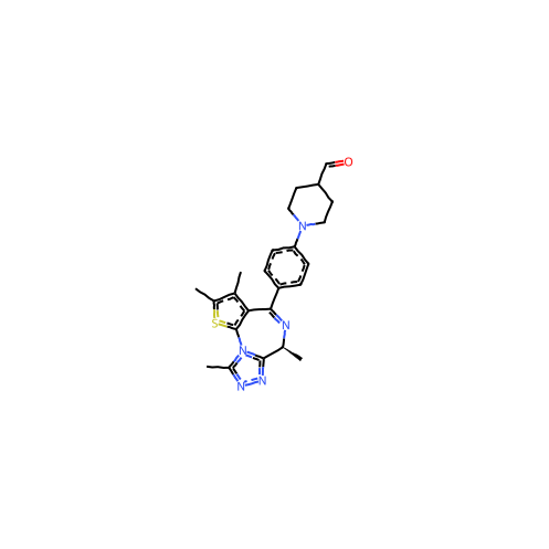 Cc1sc2c(c1C)C(c1ccc(N3CCC(C=O)CC3)cc1)=N[C@@H](C)c1nnc(C)n1-2